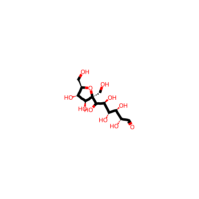 O=C[C@H](O)[C@@H](O)[C@H](O)[C@H](O)C(O)[C@]1(CO)O[C@H](CO)[C@@H](O)[C@@H]1O